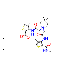 CNC(=O)c1scc(C)c1NC(=O)C[N+]1(CC(=O)Nc2c(C)csc2C(=O)OC)CCC(C)(C)CC1